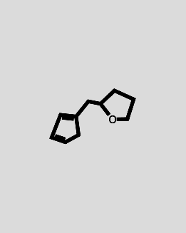 C1=CCC(CC2CCCO2)=C1